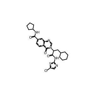 O=C(NC1CCCC1)c1ccc2c(=O)n(C(CC3CCCCC3)C(=O)Nc3ncc(Cl)s3)cnc2c1